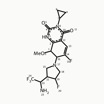 COC1c2[nH]c(=O)n(C3CC3)c(=O)c2C=C(F)C1N1CC(F)C(C(N)C(F)(F)F)C1